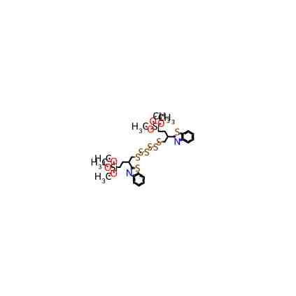 CO[Si](CCC(CSSSSSSCC(CC[Si](OC)(OC)OC)c1nc2ccccc2s1)c1nc2ccccc2s1)(OC)OC